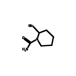 CC(C)(C)C1CCCCN1C(N)=O